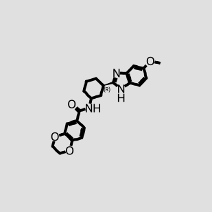 COc1ccc2[nH]c([C@@H]3CCCC(NC(=O)c4ccc5c(c4)OCCO5)C3)nc2c1